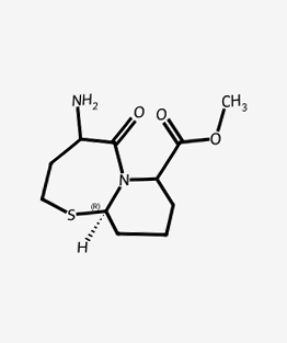 COC(=O)C1CCC[C@H]2SCCC(N)C(=O)N12